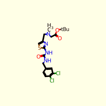 CN(CC(=O)OC(C)(C)C)Cc1csc(NC(=O)NCc2ccc(Cl)c(Cl)c2)n1